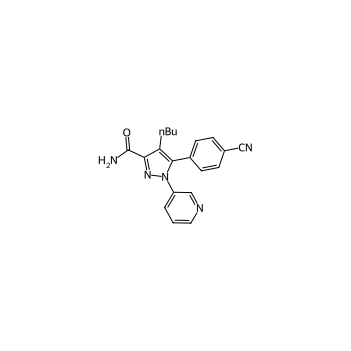 CCCCc1c(C(N)=O)nn(-c2cccnc2)c1-c1ccc(C#N)cc1